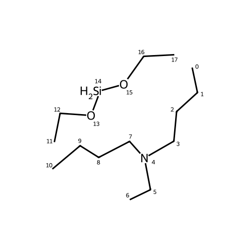 CCCCN(CC)CCCC.CCO[SiH2]OCC